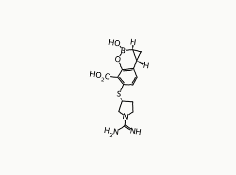 N=C(N)N1CC[C@@H](Sc2ccc3c(c2C(=O)O)OB(O)[C@@H]2C[C@H]32)C1